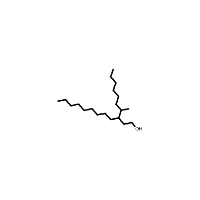 CCCCCCCCCC(CCO)C(C)CCCCCC